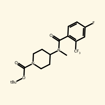 CN(C(=O)c1ccc(F)cc1C(F)(F)F)C1CCN(C(=O)OC(C)(C)C)CC1